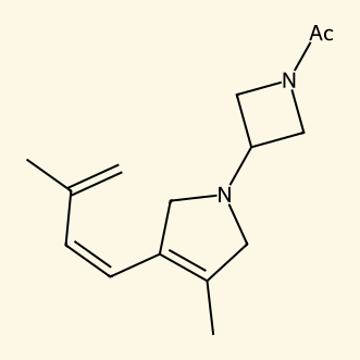 C=C(C)/C=C\C1=C(C)CN(C2CN(C(C)=O)C2)C1